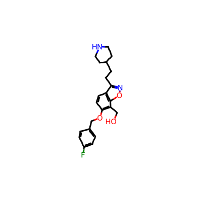 OCc1c(OCc2ccc(F)cc2)ccc2c(CCC3CCNCC3)noc12